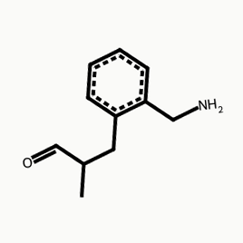 CC(C=O)Cc1ccccc1CN